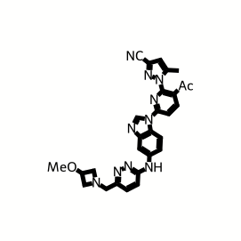 COC1CN(Cc2ccc(Nc3ccc4c(c3)ncn4-c3ccc(C(C)=O)c(-n4nc(C#N)cc4C)n3)nn2)C1